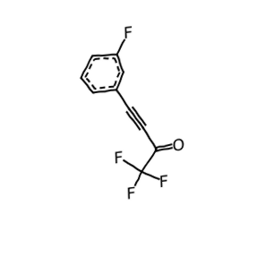 O=C(C#Cc1cccc(F)c1)C(F)(F)F